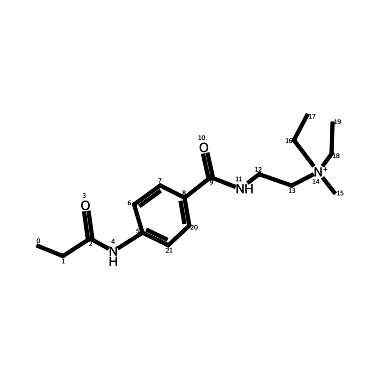 CCC(=O)Nc1ccc(C(=O)NCC[N+](C)(CC)CC)cc1